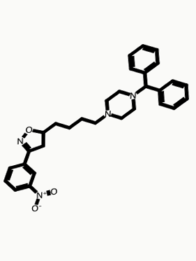 O=[N+]([O-])c1cccc(C2=NOC(CCCCN3CCN(C(c4ccccc4)c4ccccc4)CC3)C2)c1